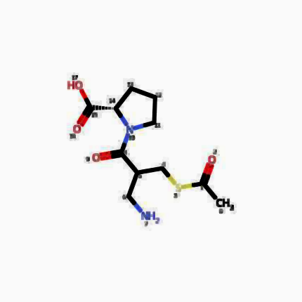 CC(=O)SCC(CN)C(=O)N1CCC[C@H]1C(=O)O